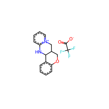 O=C([O-])C(F)(F)F.c1ccc2c(c1)OCC1C[n+]3ccccc3NC21